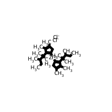 CCC(C)C(C)(C)C1=[C]([Zr+2][C]2=C(C(C)(C)C(C)CC)C(C)=C(C)C2)CC(C)=C1C.[Cl-].[Cl-]